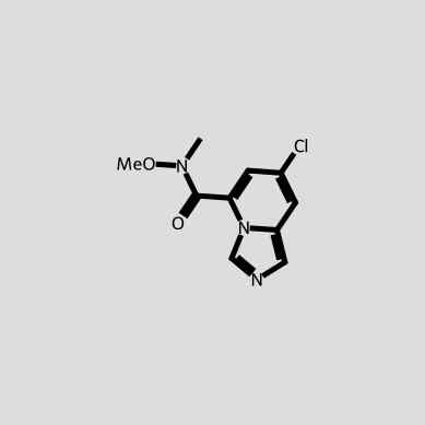 CON(C)C(=O)c1cc(Cl)cc2cncn12